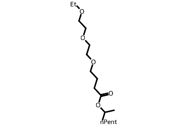 CCCCCC(C)OC(=O)CCCOCCOCCOCC